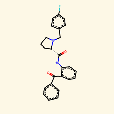 O=C(c1ccccc1)c1ccccc1NC(=O)[C@@H]1CCCN1Cc1ccc(F)cc1